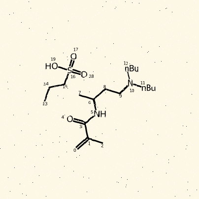 C=C(C)C(=O)NC(C)CCN(CCCC)CCCC.CCCS(=O)(=O)O